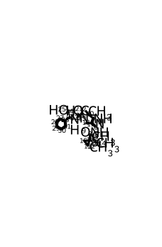 CC1(C)c2[nH]nc(NC(=O)C3(S(C)(C)C)CC3)c2CN1C(=O)N[C@H](CO)c1ccccc1